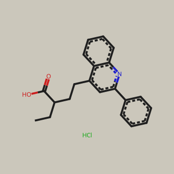 CCC(CCc1cc(-c2ccccc2)nc2ccccc12)C(=O)O.Cl